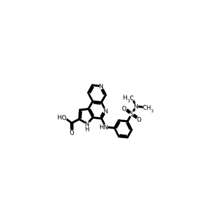 CN(C)S(=O)(=O)c1cccc(Nc2nc3cnccc3c3cc(C(=O)O)[nH]c23)c1